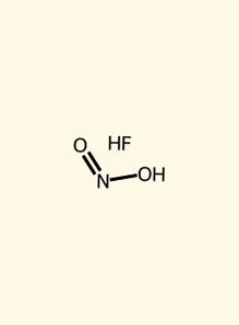 F.O=NO